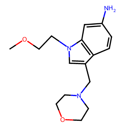 COCCn1cc(CN2CCOCC2)c2ccc(N)cc21